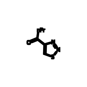 CCCC(=O)c1csnn1